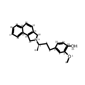 COc1cc(CC[C@@H](C)N2Cc3ccc4ccccc4c3C2)ccc1O